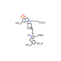 CC[N+]1=C(/C=C/C=C/C=C/C=C2/N(CCCCCC(=O)O)c3ccc4c(S(=O)(=O)[O-])cc(S(=O)(=O)O)cc4c3C2(C)CCOC)C(C)(CCOC)c2c1ccc1c(S(=O)(=O)O)cc(S(=O)(=O)O)cc21